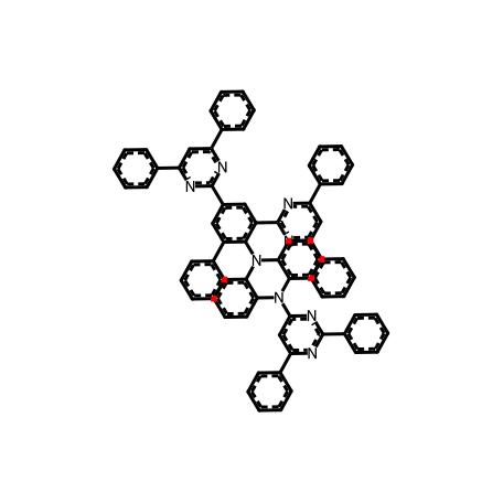 c1ccc(-c2cc(-c3ccccc3)nc(-c3cc(-c4ccccc4)c(N4c5ccccc5N(c5cc(-c6ccccc6)nc(-c6ccccc6)n5)c5ccccc54)c(-c4nc(-c5ccccc5)cc(-c5ccccc5)n4)c3)n2)cc1